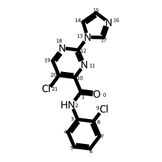 O=C(Nc1ccccc1Cl)c1nc(-n2ccnc2)ncc1Cl